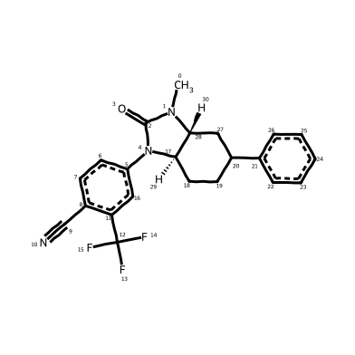 CN1C(=O)N(c2ccc(C#N)c(C(F)(F)F)c2)[C@@H]2CCC(c3ccccc3)C[C@H]21